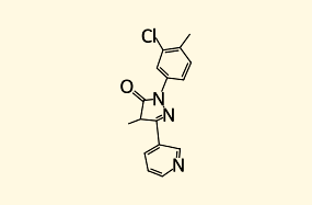 Cc1ccc(N2N=C(c3cccnc3)C(C)C2=O)cc1Cl